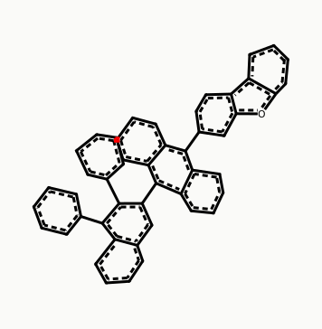 c1ccc(-c2c(-c3c4ccccc4c(-c4ccc5c(c4)oc4ccccc45)c4ccccc34)cc3ccccc3c2-c2ccccc2)cc1